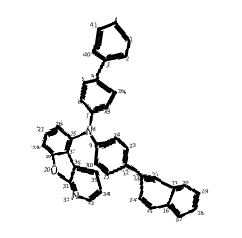 c1ccc(-c2ccc(N(c3ccc(-c4ccc5ccccc5c4)cc3)c3cccc4oc5ncccc5c34)cc2)cc1